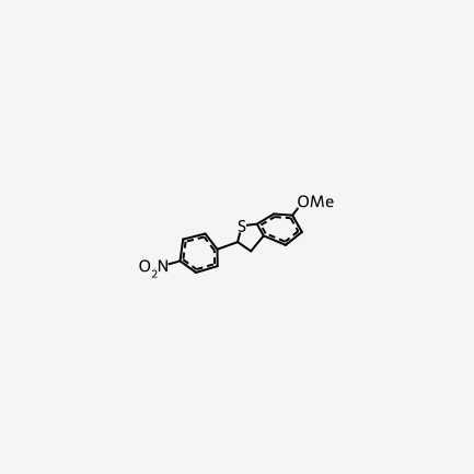 COc1ccc2c(c1)SC(c1ccc([N+](=O)[O-])cc1)C2